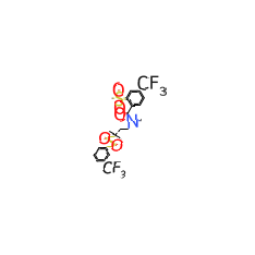 CN(CCC(C)(C)S(=O)(=O)c1cccc(C(F)(F)F)c1)C(=O)c1ccc(C(F)(F)F)cc1S(C)(=O)=O